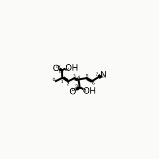 CC(=CC=C(C=CC#N)C(=O)O)C(=O)O